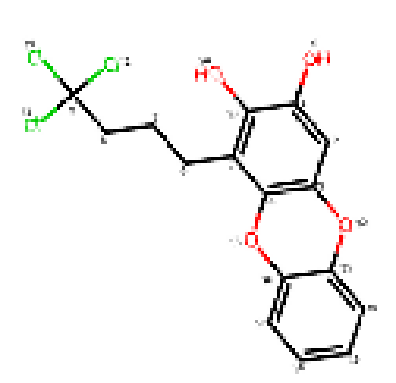 Oc1cc2c(c(CCCC(Cl)(Cl)Cl)c1O)Oc1ccccc1O2